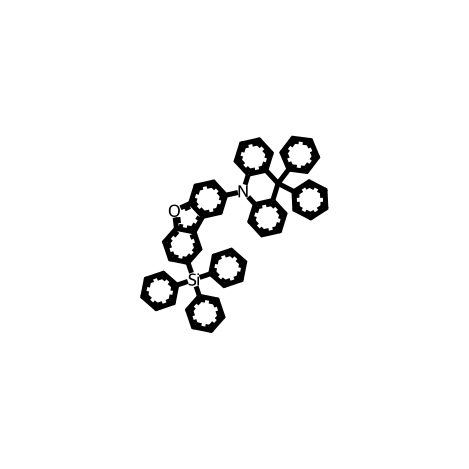 c1ccc(C2(c3ccccc3)c3ccccc3N(c3ccc4oc5ccc([Si](c6ccccc6)(c6ccccc6)c6ccccc6)cc5c4c3)c3ccccc32)cc1